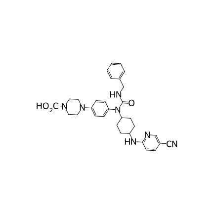 N#Cc1ccc(NC2CCC(N(C(=O)NCc3ccccc3)c3ccc(N4CCN(C(=O)O)CC4)cc3)CC2)nc1